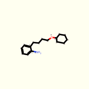 Nc1ccccc1CCCCOC1CCCCC1